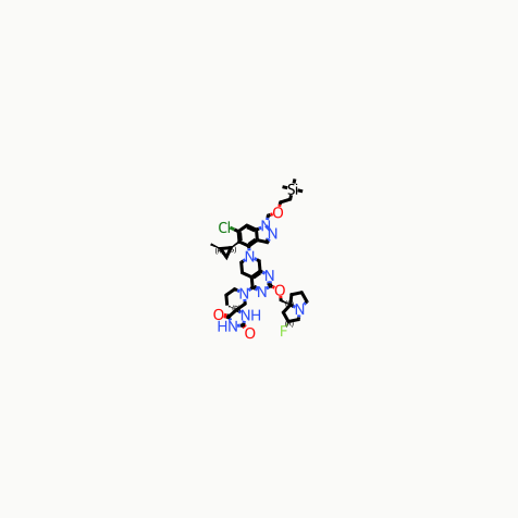 C[C@@H]1C[C@@H]1c1c(Cl)cc2c(cnn2COCC[Si](C)(C)C)c1N1CCc2c(nc(OC[C@@]34CCCN3C[C@H](F)C4)nc2N2CCC[C@]3(C2)NC(=O)NC3=O)C1